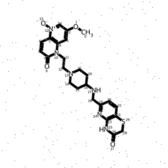 COc1cc2c(ccc(=O)n2CCN2CCC(NCc3ccc4c(n3)NC(=O)CS4)CC2)[n+]([O-])c1